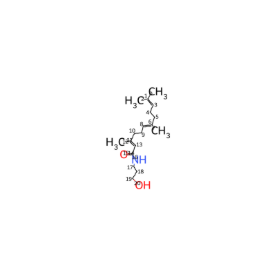 CC(C)=CCCC(C)=CCCC(C)=CC(=O)NCCCO